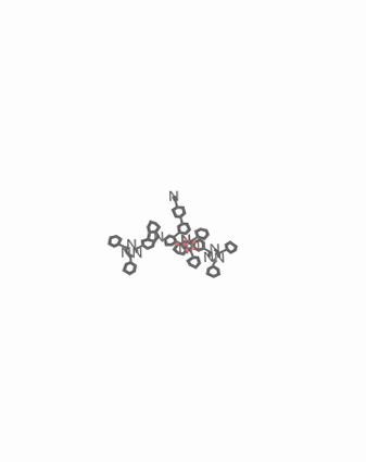 N#Cc1ccc(-c2ccc(-n3c4ccccc4c4cc(-c5nc(-c6ccccc6)nc(-c6ccccc6)n5)ccc43)c(-c3cc(-n4c5ccccc5c5cc(-c6nc(-c7ccccc7)nc(-c7ccccc7)n6)ccc54)ccc3-c3nc(-c4ccccc4)nc(-c4ccccc4)n3)c2)cc1